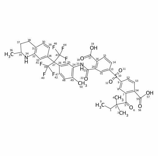 CCC(C)(C)C(=O)c1cc(S(=O)(=O)c2ccc(C(=O)O)c(C(=O)Nc3cc(C(c4ccc5c(c4)NC(C)CC5)(C(F)(F)F)C(F)(F)F)ccc3C)c2)ccc1C(=O)O